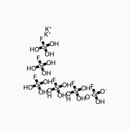 O[Si](O)(O)F.O[Si](O)(O)F.O[Si](O)(O)F.O[Si](O)(O)F.O[Si](O)(O)F.[K+].[K+].[O-][Si]([O-])(O)F